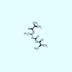 C=C(C)C(=O)OC(=O)OC(C)OC(=O)C(=C)C